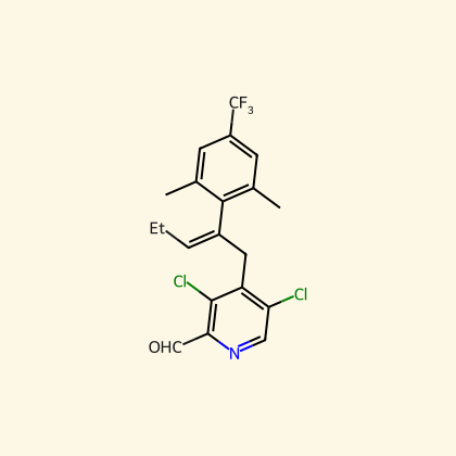 CC/C=C(/Cc1c(Cl)cnc(C=O)c1Cl)c1c(C)cc(C(F)(F)F)cc1C